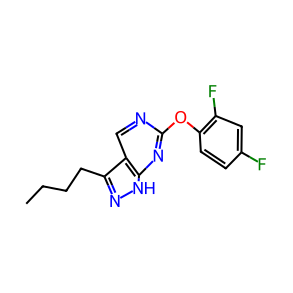 CCCCc1n[nH]c2nc(Oc3ccc(F)cc3F)ncc12